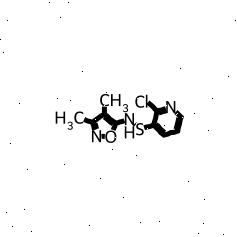 Cc1noc(NSc2cccnc2Cl)c1C